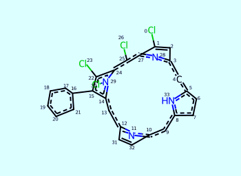 ClC1=Cc2cc3ccc(cc4nc(cc5c(-c6ccccc6)c(Cl)c(c(Cl)c1n2)n5Cl)C=C4)[nH]3